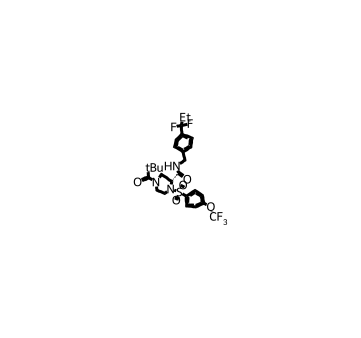 CCC(F)(F)c1ccc(CNC(=O)[C@H]2CN(C(=O)C(C)(C)C)CCN2S(=O)(=O)c2ccc(OC(F)(F)F)cc2)cc1